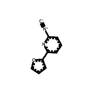 [C-]#[N+]c1cccc(-c2ccco2)n1